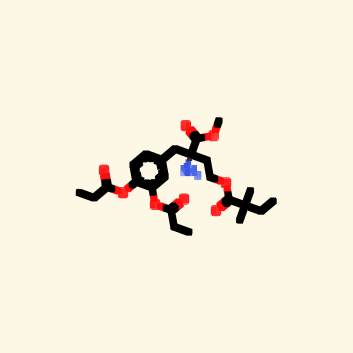 CCC(=O)Oc1ccc(C[C@](N)(CCOC(=O)C(C)(C)CC)C(=O)OC)cc1OC(=O)CC